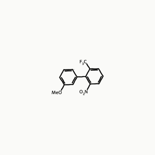 COc1cc[c]c(-c2c([N+](=O)[O-])cccc2C(F)(F)F)c1